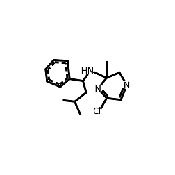 CC(C)CC(NC1(C)CN=CC(Cl)=N1)c1ccccc1